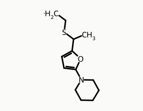 [CH2]CSC(C)c1ccc(N2CCCCC2)o1